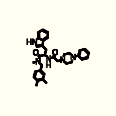 Cc1ccc(CN(C)C(=O)C(Cc2c[nH]c3ccccc23)NC(=O)CN2CCN(c3ccccc3)CC2)cc1C